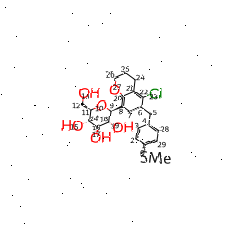 CSc1ccc(Cc2cc([C@@H]3O[C@H](CO)[C@@H](O)[C@H](O)[C@H]3O)c3c(c2Cl)CCCO3)cc1